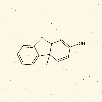 CC12C=CC(O)=CC1Oc1ccccc12